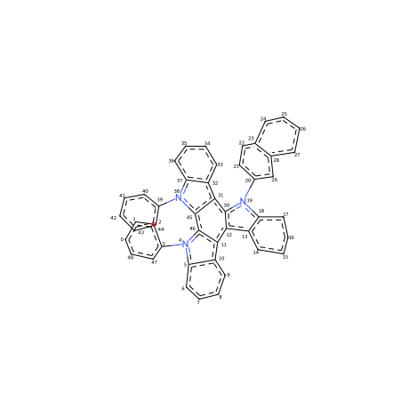 c1ccc(-n2c3ccccc3c3c4c5ccccc5n(-c5ccc6ccccc6c5)c4c4c5ccccc5n(-c5ccccc5)c4c32)cc1